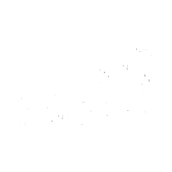 Nc1nc(N)c2c(OCC3CCN(Cc4ccccc4Cl)CC3)cccc2n1